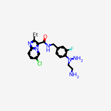 CCc1nc2ccc(Cl)cn2c1C(=O)NCc1ccc(N(N)CCN)c(F)c1